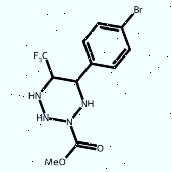 COC(=O)N1NNC(C(F)(F)F)C(c2ccc(Br)cc2)N1